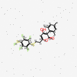 Cc1cc(C)c(-c2c(O)cc(CCSc3c(F)c(F)c(SF)c(F)c3F)oc2=O)c(C)c1